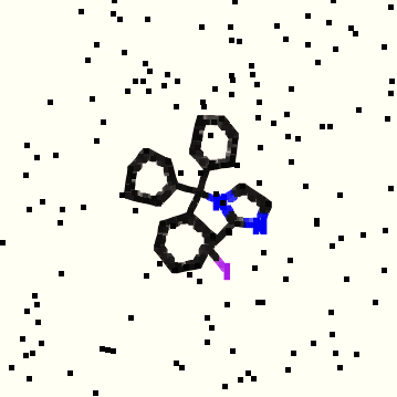 ICc1nccn1C(c1ccccc1)(c1ccccc1)c1ccccc1